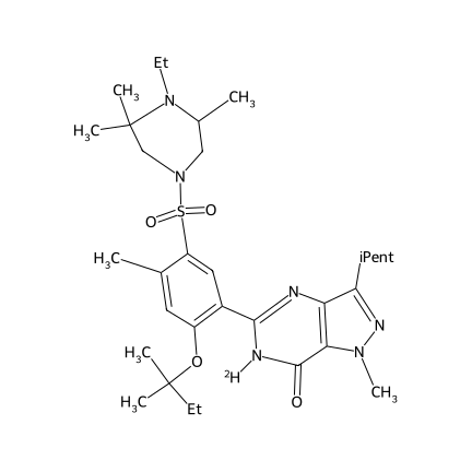 [2H]n1c(-c2cc(S(=O)(=O)N3CC(C)N(CC)C(C)(C)C3)c(C)cc2OC(C)(C)CC)nc2c(C(C)CCC)nn(C)c2c1=O